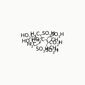 CC(C/C(C(=O)O)=C(/CC(C)S(=O)(=O)O)C(=O)O)S(=O)(=O)O.CC(CC(CC(C)S(=O)(=O)O)=C(CC(=O)O)C(=O)O)S(=O)(=O)O